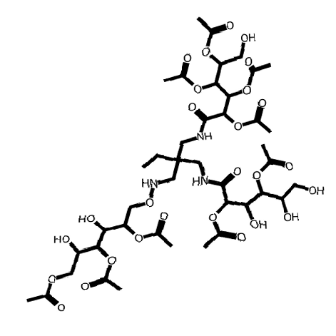 CCC(CNOCC(OC(C)=O)C(O)C(OC(C)=O)C(O)COC(C)=O)(CNC(=O)C(OC(C)=O)C(O)C(OC(C)=O)C(O)CO)CNC(=O)C(OC(C)=O)C(OC(C)=O)C(OC(C)=O)C(CO)OC(C)=O